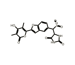 Cc1c(-c2cc3cc(C(C4NC(=O)NC4=O)[SH](=O)=O)ccc3o2)oc(=O)c(C)c1O